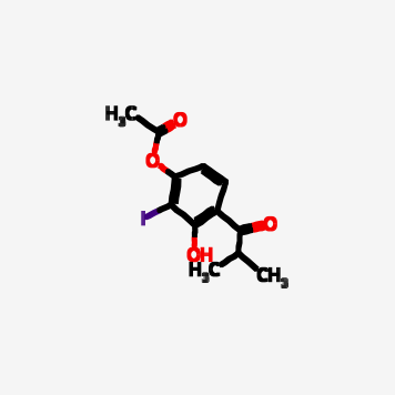 CC(=O)Oc1ccc(C(=O)C(C)C)c(O)c1I